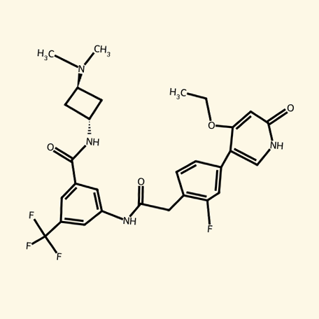 CCOc1cc(=O)[nH]cc1-c1ccc(CC(=O)Nc2cc(C(=O)N[C@H]3C[C@H](N(C)C)C3)cc(C(F)(F)F)c2)c(F)c1